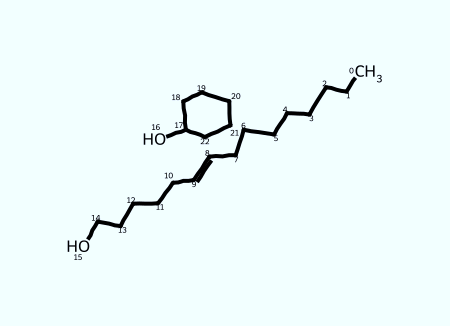 CCCCCCCCC=CCCCCCO.OC1CCCCC1